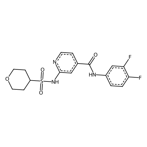 O=C(Nc1ccc(F)c(F)c1)c1ccnc(NS(=O)(=O)C2CCOCC2)c1